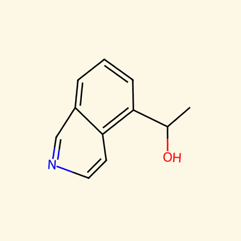 CC(O)c1cccc2cnccc12